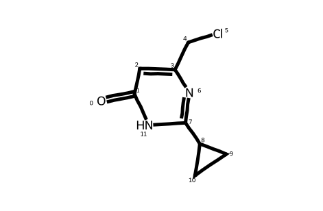 O=c1cc(CCl)nc(C2CC2)[nH]1